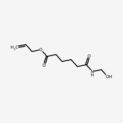 C=CCOC(=O)CCCCC(=O)NCO